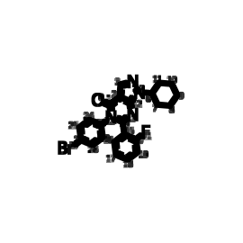 O=c1c2cnn(C3CCCCC3)c2nc(-c2ccccc2F)n1-c1ccc(Br)cc1